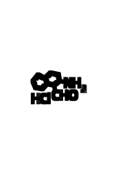 Cl.Nc1ccc2ccccc2c1C=O